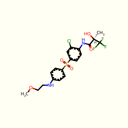 COCCNc1ccc(S(=O)(=O)c2ccc(NC(=O)[C@@](C)(O)C(F)(F)F)c(Cl)c2)cc1